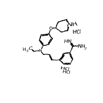 CCN(CC=Cc1cccc(C(=N)N)c1)c1ccc(OC2CCNCC2)cc1.Cl.Cl.Cl